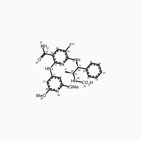 COc1cc(Nc2nc(N[C@@H](c3ccccc3)[C@H](C)NC(=O)O)c(F)cc2C(N)=O)cc(OC)n1